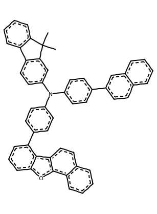 CC1(C)c2ccccc2-c2ccc(N(c3ccc(-c4ccc5ccccc5c4)cc3)c3ccc(-c4cccc5oc6c7ccccc7ccc6c45)cc3)cc21